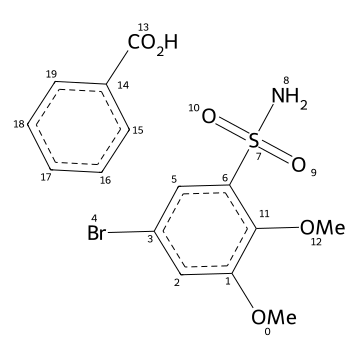 COc1cc(Br)cc(S(N)(=O)=O)c1OC.O=C(O)c1ccccc1